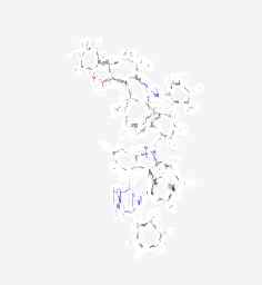 c1ccc(-c2nnc(-c3cccc4c3c3ccccc3n4-c3ccc(-c4ccccc4-n4c5ccccc5c5c6oc7ccccc7c6ccc54)cc3)n2-c2ccccc2)cc1